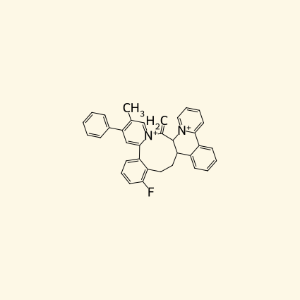 C=C1C2C(CCc3c(F)cccc3-c3cc(-c4ccccc4)c(C)c[n+]31)c1ccccc1-c1cccc[n+]12